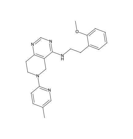 COc1ccccc1CCNc1ncnc2c1CN(c1ccc(C)cn1)CC2